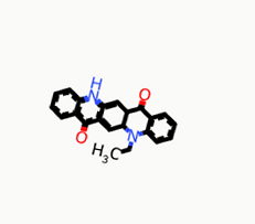 CCN1c2ccccc2C(=O)C2C=c3[nH]c4ccccc4c(=O)c3=CC21